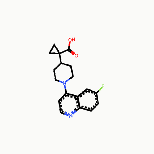 O=C(O)C1(C2CCN(c3ccnc4ccc(F)cc34)CC2)CC1